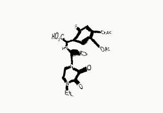 CCN1CCN(C(=O)NC(C(=O)O)c2cc(OC(C)=O)c(OC(C)=O)cc2F)C(=O)C1=O